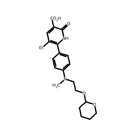 CCc1cc(C(=O)O)c(=O)[nH]c1-c1ccc(N(C)CCOC2CCCCO2)cc1